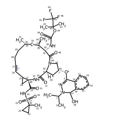 CC(C)N1N=C(O[C@@H]2C[C@H]3C(=O)N[C@]4(C(=O)NS(=O)(=O)C5(C)CC5)CC4/C=C\CC[C@H](C)C[C@@H](C)[C@H](NC(=O)OC(C)(C)C(F)(F)F)C(=O)N3C2)c2ccccc2C1O